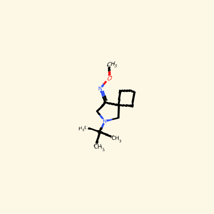 CO/N=C1/CN(C(C)(C)C)CC12CCC2